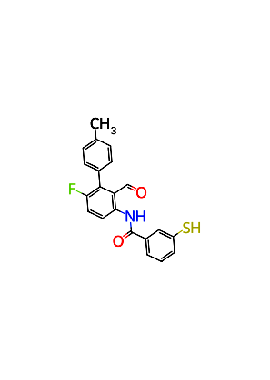 Cc1ccc(-c2c(F)ccc(NC(=O)c3cccc(S)c3)c2C=O)cc1